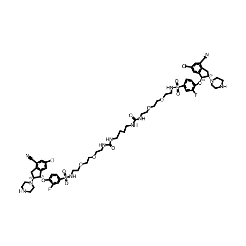 N#Cc1cc(Cl)cc2c1C[C@H](N1CCNCC1)[C@H]2Oc1ccc(S(=O)(=O)NCCOCCOCCNC(=O)NCCCCNC(=O)NCCOCCOCCNS(=O)(=O)c2ccc(O[C@H]3c4cc(Cl)cc(C#N)c4C[C@@H]3N3CCNCC3)c(F)c2)cc1F